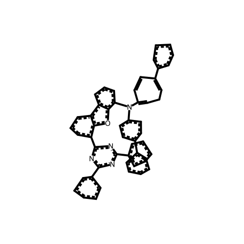 C1=CC(N(c2ccc(-c3ccccc3)cc2)c2cccc3c2oc2c(-c4nc(-c5ccccc5)nc(-c5ccccc5)n4)cccc23)=CCC=C1c1ccccc1